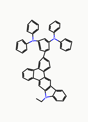 CCn1c2ccccc2c2cc3c4ccc(-c5cc(N(c6ccccc6)c6ccccc6)cc(N(c6ccccc6)c6ccccc6)c5)cc4c4ccccc4c3cc21